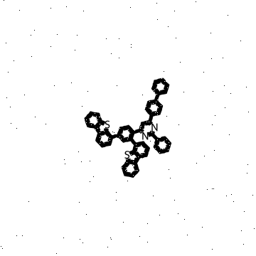 c1ccc(-c2ccc(-c3cc(-c4ccc(-c5cccc6c5sc5ccccc56)cc4-c4cccc5c4sc4ccccc45)nc(-c4ccccc4)n3)cc2)cc1